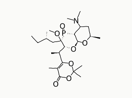 CC[C@H](C)C[C@@](C)(OC)[C@H](O[C@@H]1O[C@H](C)CC(N(C)C)[C@H]1P=O)[C@H](C)C1=C(C)C(=O)OC(C)(C)O1